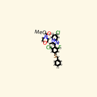 COC(=O)N1CCO[C@@H](Cc2c(-c3c(F)cc(SCc4ccccc4)cc3Cl)nc3cc(Cl)ccn23)C1